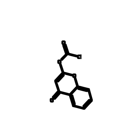 O=C(Cl)Oc1cc(=O)c2ccccc2o1